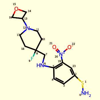 NSc1ccc(NCC2(F)CCN(C3COC3)CC2)c([N+](=O)[O-])c1